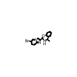 CC(NC(=O)c1cn2cc(Br)ccc2n1)c1ccccc1